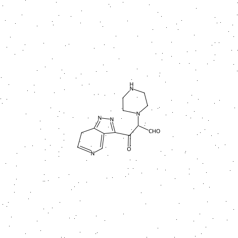 O=CC(C(=O)C1=NN=C2CC=NC=C21)N1CCNCC1